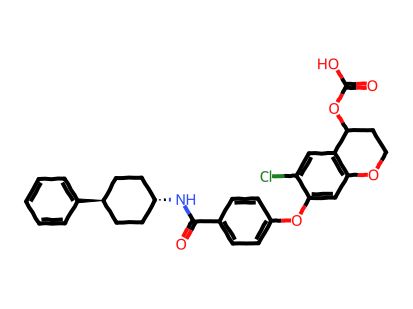 O=C(O)OC1CCOc2cc(Oc3ccc(C(=O)N[C@H]4CC[C@H](c5ccccc5)CC4)cc3)c(Cl)cc21